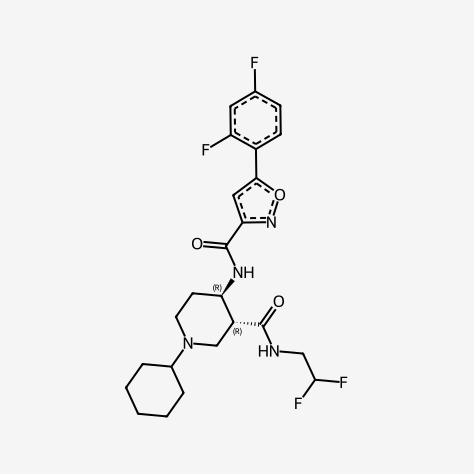 O=C(N[C@@H]1CCN(C2CCCCC2)C[C@H]1C(=O)NCC(F)F)c1cc(-c2ccc(F)cc2F)on1